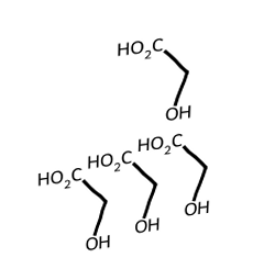 O=C(O)CO.O=C(O)CO.O=C(O)CO.O=C(O)CO